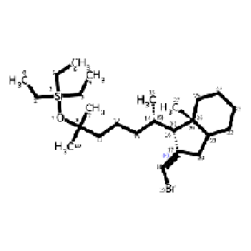 CC[Si](CC)(CC)OC(C)(C)CCC[C@H](C)[C@H]1/C(=C/Br)CC2CCCC[C@]21C